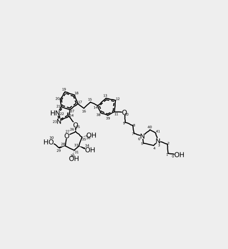 OCCN1CCN(CCCOc2ccc(CCc3cccc4[nH]nc(O[C@@H]5O[C@H](CO)[C@@H](O)[C@H](O)[C@H]5O)c34)cc2)CC1